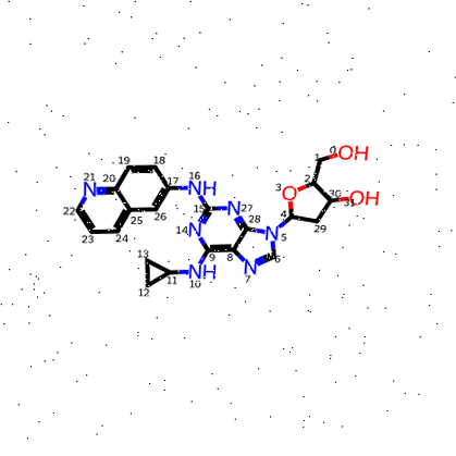 OCC1OC(n2cnc3c(NC4CC4)nc(Nc4ccc5ncccc5c4)nc32)CC1O